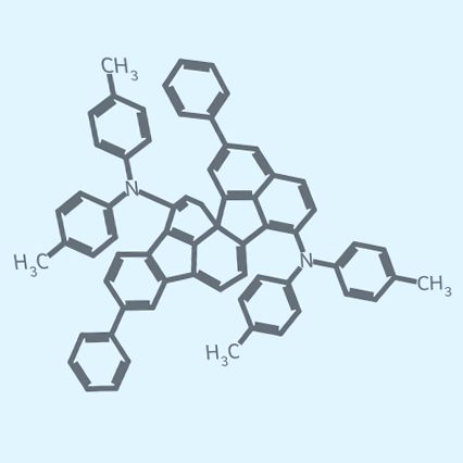 Cc1ccc(N(C2=CCC34C(=CC=C5C3=C2c2ccc(-c3ccccc3)cc25)c2c(N(c3ccc(C)cc3)c3ccc(C)cc3)ccc3cc(-c5ccccc5)cc4c23)c2ccc(C)cc2)cc1